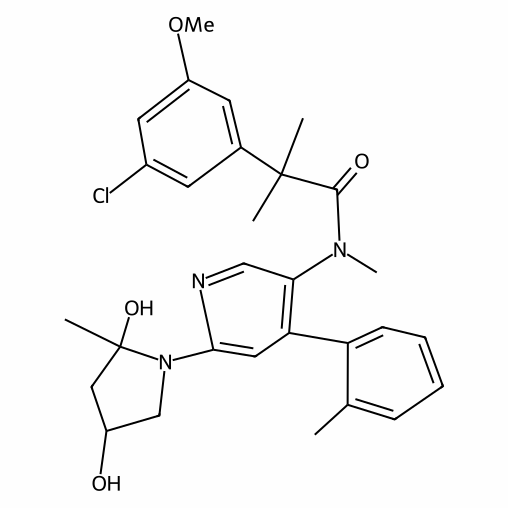 COc1cc(Cl)cc(C(C)(C)C(=O)N(C)c2cnc(N3CC(O)CC3(C)O)cc2-c2ccccc2C)c1